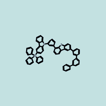 c1ccc(-c2cccc(-c3cccc(-c4ccc5sc6c(-c7cccc(-n8c9ccccc9c9cc([Si](c%10ccccc%10)(c%10ccccc%10)c%10ccccc%10)ccc98)c7)cccc6c5c4)c3)c2)cc1